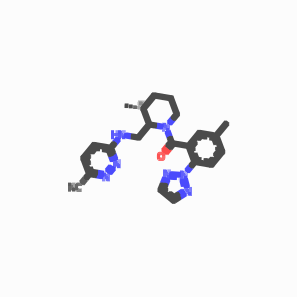 Cc1ccc(-n2nccn2)c(C(=O)N2CCC[C@@H](C)C2CNc2ccc(C#N)nn2)c1